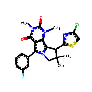 Cn1c(=O)c2c(-c3cccc(F)c3)n3c(c2n(C)c1=O)C(c1nc(Cl)cs1)C(C)(C)C3